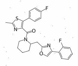 Cc1nc(C(=O)N2CCCCC2Cc2nc(-c3ccccc3F)co2)c(-c2ccc(F)cc2)s1